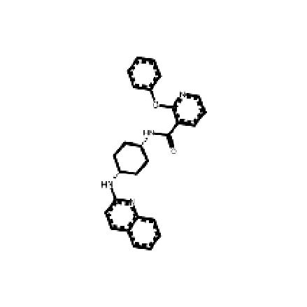 O=C(N[C@H]1CC[C@@H](Nc2ccc3ccccc3n2)CC1)c1cccnc1Oc1ccccc1